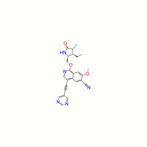 CC[C@@H]1[C@H](F)C(=O)N[C@@H]1COc1ncc(C#Cc2cncnc2)c2cc(C#N)c(OC)cc12